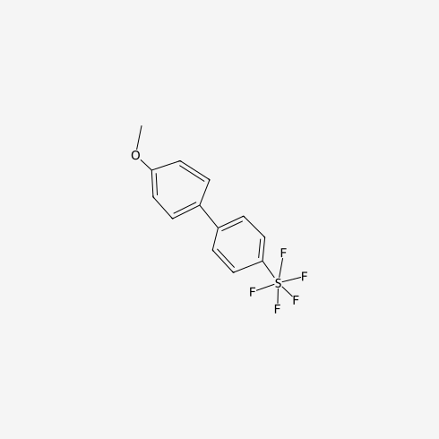 COc1ccc(-c2ccc(S(F)(F)(F)(F)F)cc2)cc1